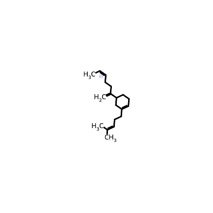 C=C(CC/C=C\C)C1CCC=C(CCC=C(C)C)C1